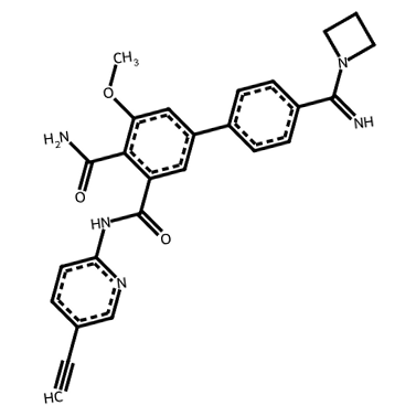 C#Cc1ccc(NC(=O)c2cc(-c3ccc(C(=N)N4CCC4)cc3)cc(OC)c2C(N)=O)nc1